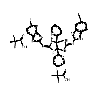 Ic1ccc2[nH]c(N=C3NC4(c5ccccn5)NC(=Nc5nc6cc(I)ccc6[nH]5)NC4(c4ccccn4)N3)nc2c1.O=C(O)C(F)(F)F.O=C(O)C(F)(F)F